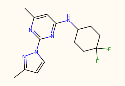 Cc1cc(NC2CCC(F)(F)CC2)nc(-n2ccc(C)n2)n1